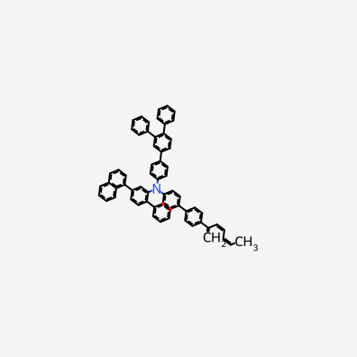 C=C(/C=C\C=C/C)c1ccc(-c2ccc(N(c3ccc(-c4ccc(-c5ccccc5)c(-c5ccccc5)c4)cc3)c3cc(-c4cccc5ccccc45)ccc3-c3ccccc3)cc2)cc1